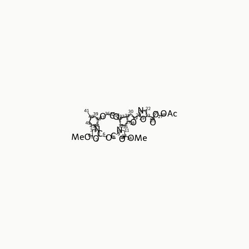 COC(=O)CN1CCOCCN(CC(=O)OC)c2cc3oc(-c4ncc(C(=O)OCOC(C)=O)o4)cc3cc2OCCOc2cc(C)ccc21